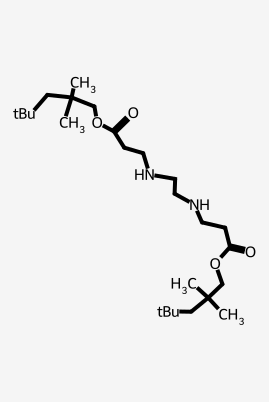 CC(C)(C)CC(C)(C)COC(=O)CCNCCNCCC(=O)OCC(C)(C)CC(C)(C)C